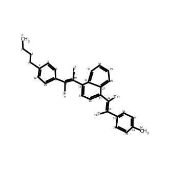 CCCCc1ccc(/C(F)=C(\F)c2ccc(/C(F)=C(\F)c3ccc(C)cc3)c3ccccc23)cc1